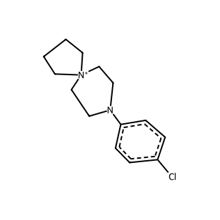 Clc1ccc(N2CC[N+]3(CCCC3)CC2)cc1